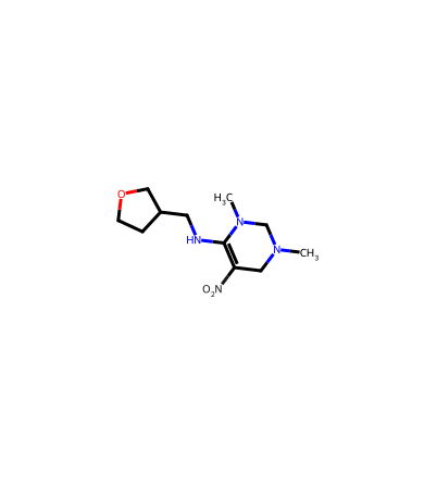 CN1CC([N+](=O)[O-])=C(NCC2CCOC2)N(C)C1